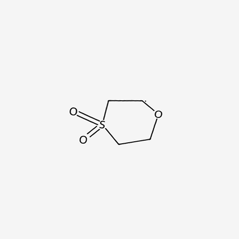 O=S1(=O)C[CH]OCC1